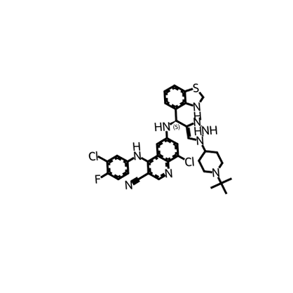 CC(C)(C)N1CCC(N2C=C([C@@H](Nc3cc(Cl)c4ncc(C#N)c(Nc5ccc(F)c(Cl)c5)c4c3)c3cccc4c3NCS4)NN2)CC1